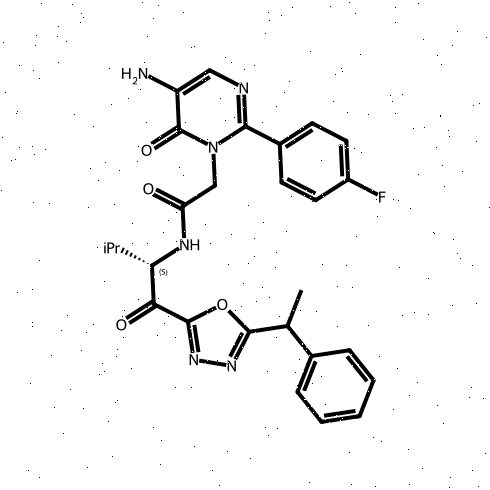 CC(c1ccccc1)c1nnc(C(=O)[C@@H](NC(=O)Cn2c(-c3ccc(F)cc3)ncc(N)c2=O)C(C)C)o1